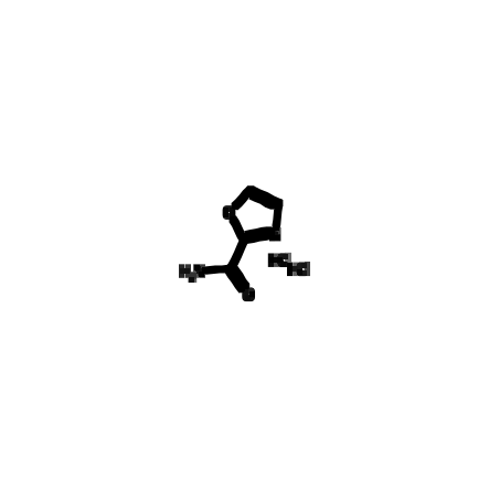 Cl.Cl.NC(=O)c1ncco1